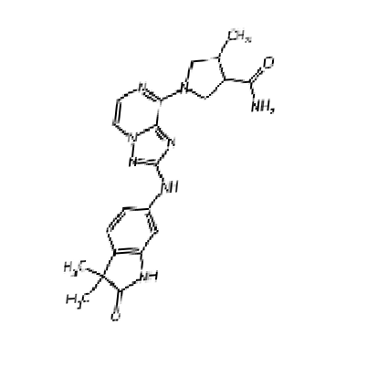 CC1CN(c2nccn3nc(Nc4ccc5c(c4)NC(=O)C5(C)C)nc23)CC1C(N)=O